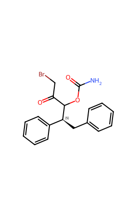 NC(=O)OC(C(=O)CBr)[C@@H](Cc1ccccc1)c1ccccc1